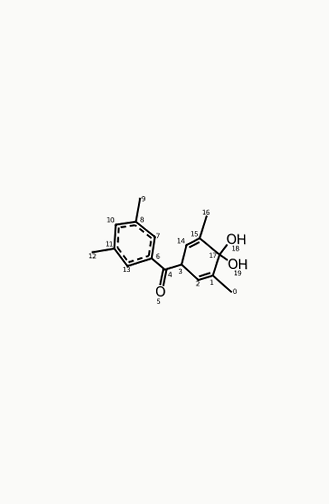 CC1=CC(C(=O)c2cc(C)cc(C)c2)C=C(C)C1(O)O